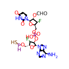 Nc1ncnc2c1ncn2[C@@H]1O[C@H](COPS)[C@@H](F)[C@H]1OP(=O)(O)OC[C@H]1O[C@@H](n2ccc(=O)[nH]c2=O)[C@H](OC=O)[C@@H]1F